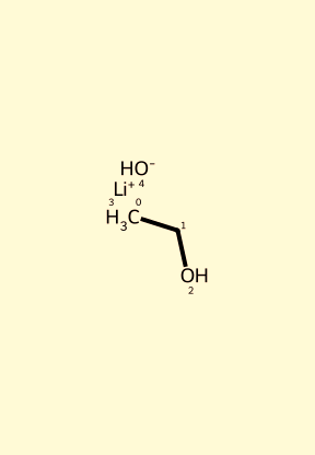 CCO.[Li+].[OH-]